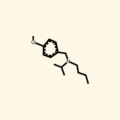 CCCCN(Cc1ccc(OC)cc1)C(C)C